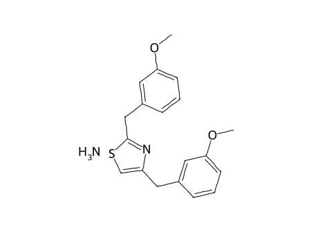 COc1cccc(Cc2csc(Cc3cccc(OC)c3)n2)c1.N